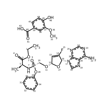 CCOC(=O)[C@H](C)N[P@](=O)(CO[C@@H]1C=C(F)[C@H](n2cnc3c(N)ncnc32)O1)Oc1ccccc1.COc1cc(C(=O)O)ccc1O